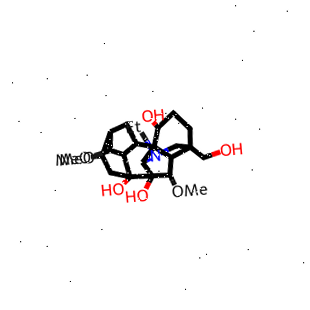 CCN1CC2(CO)CCC(O)C34C5CC6C(OC)CC(O)(C5C6OC)C(O)(C(OC)C23)C14